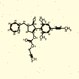 C#CCOC(=O)OC1=C(c2c(C)cc(C#CC)cc2C)C(=O)C(Cc2ccccn2)C1